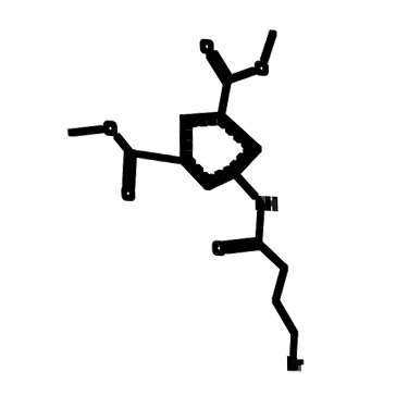 COC(=O)c1cc(NC(=O)CCCBr)cc(C(=O)OC)c1